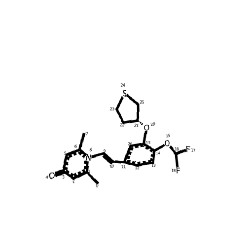 Cc1cc(=O)cc(C)n1/C=C/c1ccc(OC(F)F)c(O[C@@H]2CCSC2)c1